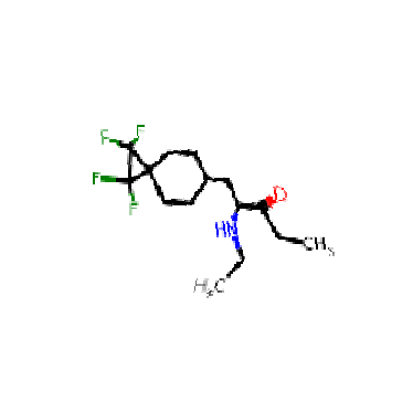 CCNC(CC1CCC2(CC1)C(F)(F)C2(F)F)C(=O)CC